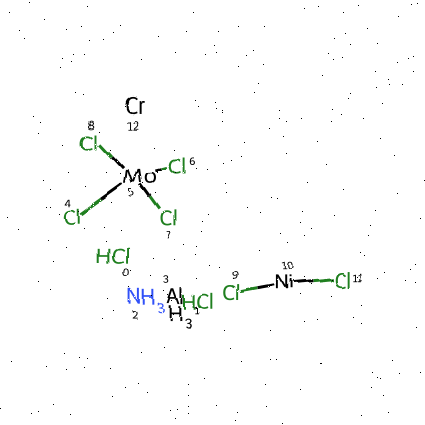 Cl.Cl.N.[AlH3].[Cl][Mo]([Cl])([Cl])[Cl].[Cl][Ni][Cl].[Cr]